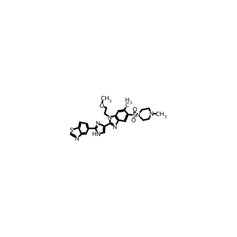 COCCn1c(-c2c[nH]c(-c3ccc4scnc4c3)n2)nc2cc(S(=O)(=O)N3CCN(C)CC3)c(C)cc21